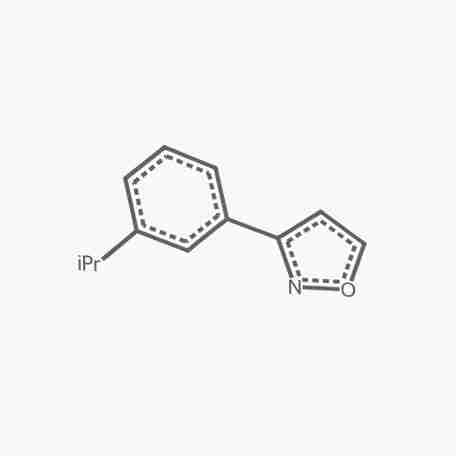 CC(C)c1cccc(-c2ccon2)c1